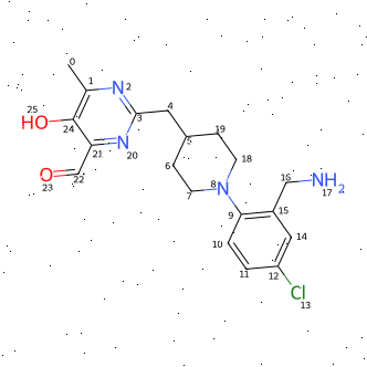 Cc1nc(CC2CCN(c3ccc(Cl)cc3CN)CC2)nc([C]=O)c1O